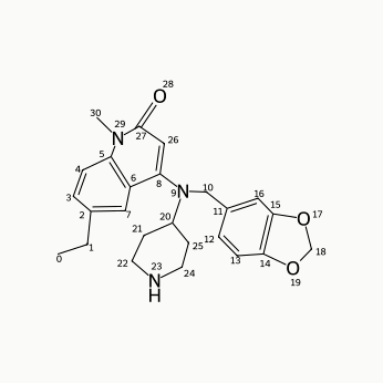 CCc1ccc2c(c1)c(N(Cc1ccc3c(c1)OCO3)C1CCNCC1)cc(=O)n2C